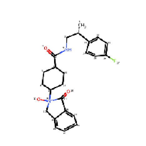 C[C@@H](CNC(=O)C1CCC([N+]2([O-])Cc3ccccc3C2=O)CC1)c1ccc(F)cc1